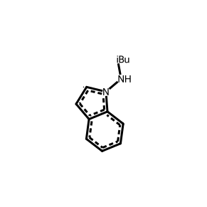 CCC(C)Nn1[c]cc2ccccc21